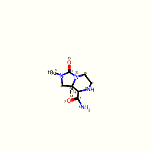 CC(C)(C)N1C[C@H]2C(C(N)=O)NCCN2C1=O